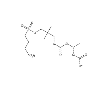 CC(OC(=O)SCC(C)(C)COS(=O)(=O)CCCS(=O)(=O)O)OC(=O)C(C)C